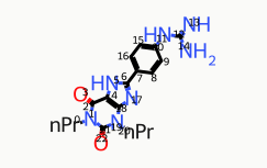 CCCn1c(=O)c2[nH]c(-c3ccc(NC(=N)N)cc3)nc2n(CCC)c1=O